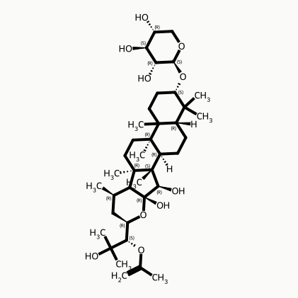 C=C(C)O[C@@H]([C@H]1C[C@@H](C)C2[C@@](O)(O1)[C@H](O)[C@@]1(C)[C@@H]3CC[C@H]4C(C)(C)[C@@H](O[C@@H]5OC[C@@H](O)[C@H](O)[C@H]5O)CCC4(C)[C@]3(C)CC[C@]21C)C(C)(C)O